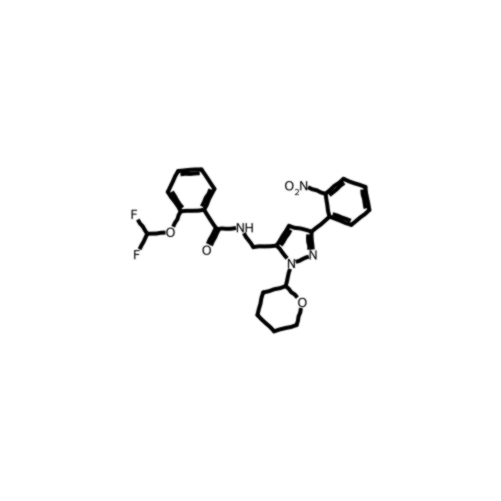 O=C(NCc1cc(-c2ccccc2[N+](=O)[O-])nn1C1CCCCO1)c1ccccc1OC(F)F